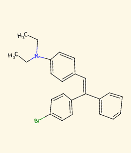 CCN(CC)c1ccc(C=C(c2ccccc2)c2ccc(Br)cc2)cc1